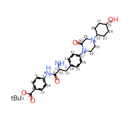 CC(C)(C)OC(=O)c1ccc(NC(=O)[C@@H](N)Cc2ccc(N3CCN(C4CCC(O)CC4)CC3=O)cc2)cc1